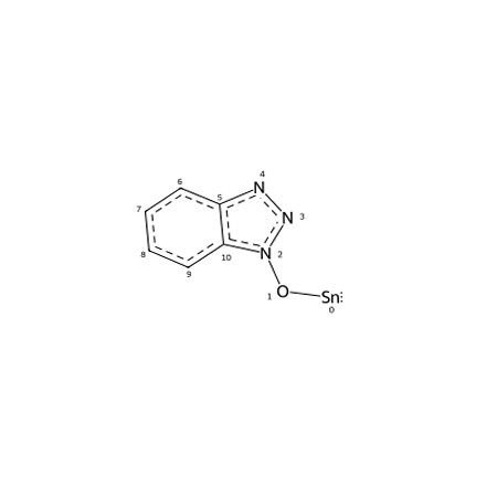 [Sn][O]n1nnc2ccccc21